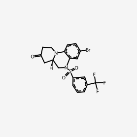 O=C1CCN2c3ccc(Br)cc3N(S(=O)(=O)c3cccc(C(F)(F)F)c3)C[C@@H]2C1